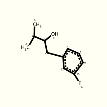 CC(C)C(O)Cc1cccc(F)c1